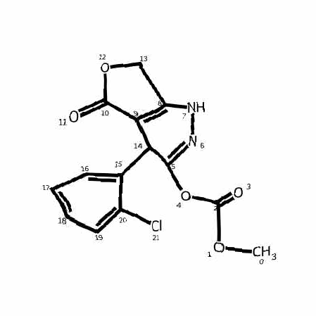 COC(=O)OC1=NNC2=C(C(=O)OC2)C1c1ccccc1Cl